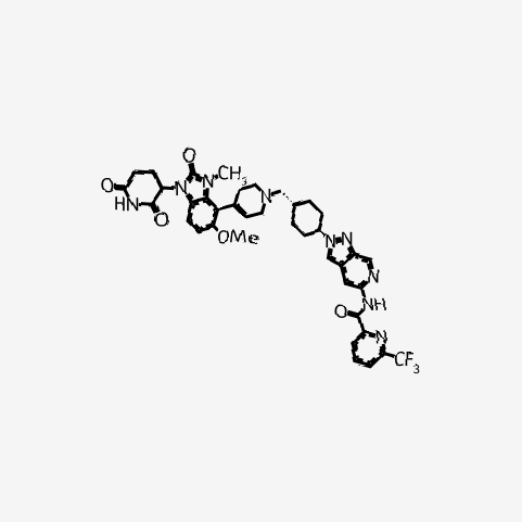 COc1ccc2c(c1C1=CCN(C[C@H]3CC[C@H](n4cc5cc(NC(=O)c6cccc(C(F)(F)F)n6)ncc5n4)CC3)CC1)n(C)c(=O)n2C1CCC(=O)NC1=O